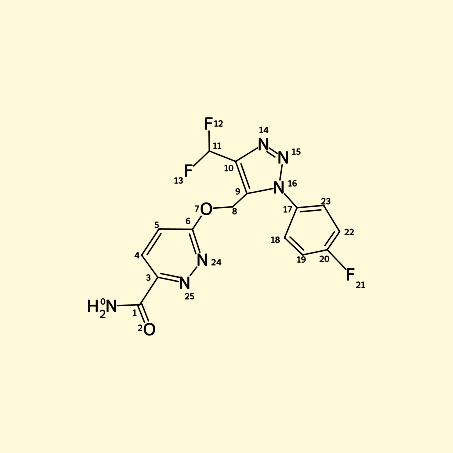 NC(=O)c1ccc(OCc2c(C(F)F)nnn2-c2ccc(F)cc2)nn1